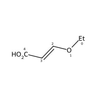 [CH2]COC=CC(=O)O